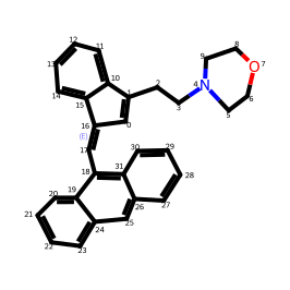 C1=C(CCN2CCOCC2)c2ccccc2/C1=C/c1c2ccccc2cc2ccccc12